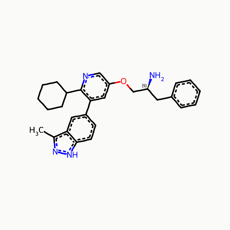 Cc1n[nH]c2ccc(-c3cc(OC[C@@H](N)Cc4ccccc4)cnc3C3CCCCC3)cc12